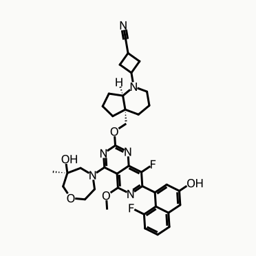 COc1nc(-c2cc(O)cc3cccc(F)c23)c(F)c2nc(OC[C@]34CCC[C@H]3N(C3CC(C#N)C3)CCC4)nc(N3CCOC[C@@](C)(O)C3)c12